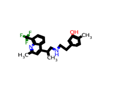 Cc1cc(C(C)CNCCc2ccc(C)c(O)c2)c2cccc(C(F)(F)F)c2n1